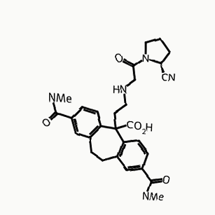 CNC(=O)c1ccc2c(c1)CCc1cc(C(=O)NC)ccc1C2(CCNCC(=O)N1CCC[C@H]1C#N)C(=O)O